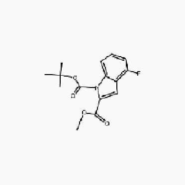 COC(=O)c1cc2c(F)cccc2n1C(=O)OC(C)(C)C